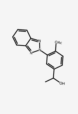 CC(=O)Oc1ccc(C(C)O)cc1-n1nc2ccccc2n1